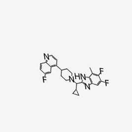 Cc1c(F)c(F)cc2nc(C(C3CC3)N3CCC(c4ccnc5ccc(F)cc45)CC3)[nH]c12